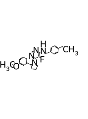 CCc1ccc(CNc2ncnc(N3CCCC3c3cccc(OC)c3)c2F)cc1